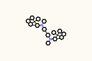 c1ccc(N(c2ccc(-c3ccc(N(c4ccccc4)c4ccc5c(c4)C(c4ccccc4)(c4ccccc4)c4c-5ccc5ccccc45)cc3)cc2)c2ccc3c(c2)C(c2ccccc2)(c2ccccc2)c2c-3ccc3ccccc23)cc1